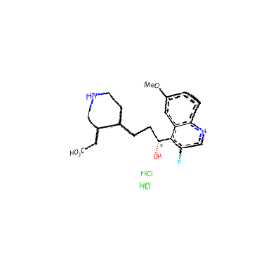 COc1ccc2ncc(F)c([C@H](O)CCC3CCNCC3CC(=O)O)c2c1.Cl.Cl